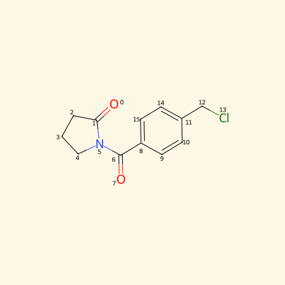 O=C1CCCN1C(=O)c1ccc(CCl)cc1